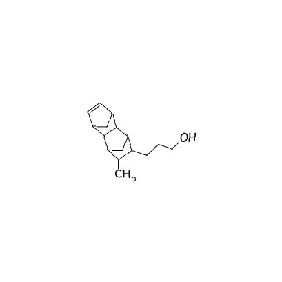 CC1C(CCCO)C2CC1C1C3C=CC(C3)C21